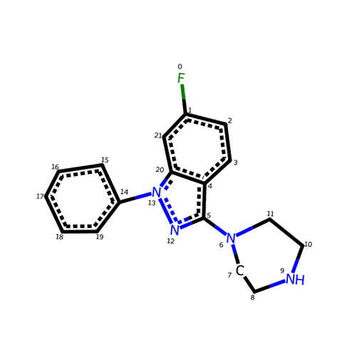 Fc1ccc2c(N3CCNCC3)nn(-c3ccccc3)c2c1